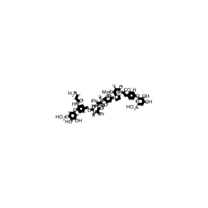 CCC(C)C([C@@H](CC(=O)N1CCC[C@H]1[C@H](OC)[C@@H](C)C(=O)N[C@H](Cc1ccc(O[C@H]2O[C@@H](C(=O)O)C[C@@H](O)[C@@H]2O)cc1)C(=O)O)OC)N(C)C(=O)[C@@H](NC(=O)C(C(C)C)N(C)C(=O)OCc1ccc(O[C@H]2C[C@@H](O)[C@H](O)[C@@H](C(=O)O)C2)c(NC(=O)CCN)c1)C(C)C